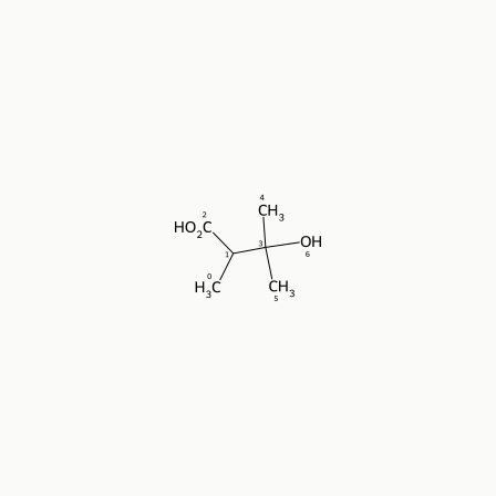 CC(C(=O)O)C(C)(C)O